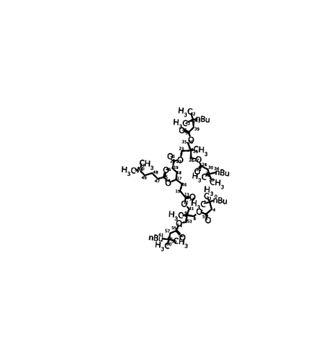 CCCCC(C)(C)CC(=O)OCC(C)(COC(=O)CCC(CCC(=O)OCC(C)(COC(=O)CC(C)(C)CCCC)COC(=O)CC(C)(C)CCCC)OC(=O)CCCN(C)C)COC(=O)CC(C)(C)CCCC